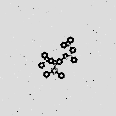 c1ccc(-c2nc(-c3ccccc3)nc(-n3c4ccc(-c5ccc(N(c6ccccc6)c6cccc(-n7c8ccccc8c8ccccc87)c6)o5)cc4c4cc5c6ccccc6p(-c6ccccc6)c5cc43)n2)cc1